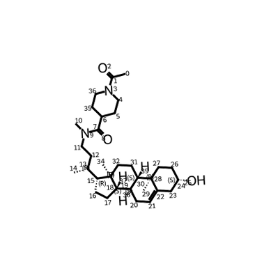 CC(=O)N1CCC(C(=O)N(C)CC[C@@H](C)[C@H]2CC[C@H]3[C@@H]4CC=C5C[C@@H](O)CC[C@]5(C)[C@H]4CC[C@]23C)CC1